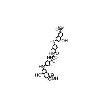 Cc1cc(Nc2cc(O)c3ccc(S(=O)(=O)O)cc3c2)ccc1C(=O)NC(=O)NC(=O)c1ccc(Nc2cc(O)c3ccc(S(=O)(=O)O)cc3c2)cc1C